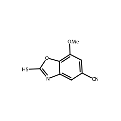 COc1cc(C#N)cc2nc(S)oc12